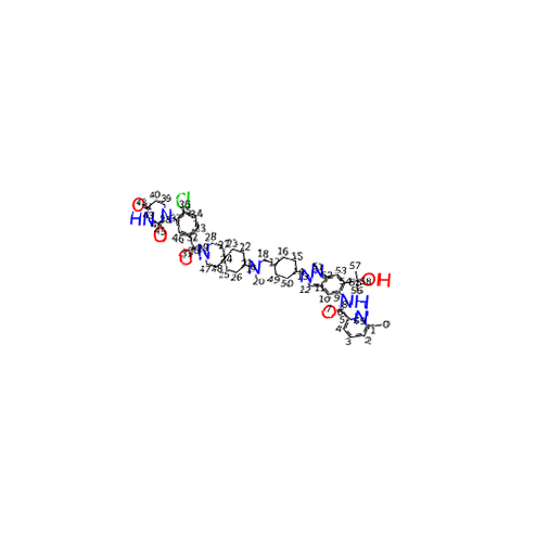 Cc1cccc(C(=O)Nc2cc3cn([C@H]4CC[C@H](CN(C)C5CCC6(CC5)CCN(C(=O)c5ccc(Cl)c(N7CCC(=O)NC7=O)c5)CC6)CC4)nc3cc2C(C)(C)O)n1